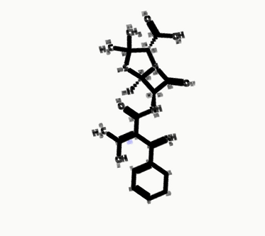 C/C(O)=C(/C(=N)C1=CC=CCC1)C(=O)N[C@@H]1C(=O)N2[C@@H]1SC(C)(C)[C@@H]2C(=O)O